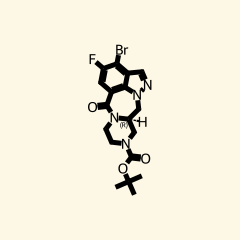 CC(C)(C)OC(=O)N1CCN2C(=O)c3cc(F)c(Br)c4cnn(c34)C[C@H]2C1